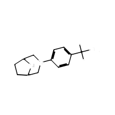 CC(C)(C)c1ccc(N2CC3CCC(C2)N3)cc1